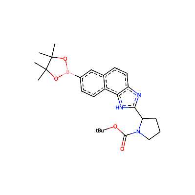 CC(C)(C)OC(=O)N1CCCC1c1nc2ccc3cc(B4OC(C)(C)C(C)(C)O4)ccc3c2[nH]1